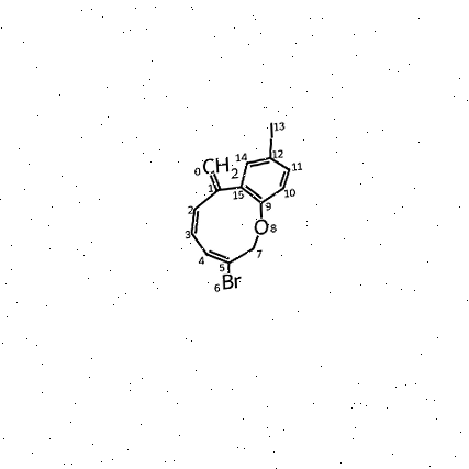 C=C1/C=C\C=C(\Br)COc2ccc(I)cc21